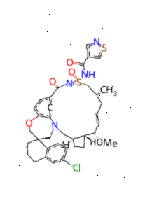 CO[C@H]1/C=C/C[C@H](C)C[S@@](=O)(NC(=O)c2cnsc2)=NC(=O)c2ccc3c(c2)N(C[C@@H]2CC[C@H]21)C[C@@]1(CCCc2cc(Cl)ccc21)CO3